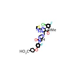 COC(=O)C1=C(CN2CCN3C(=O)N(c4ccc(OC5CCC(C(=O)O)CC5)cc4F)C[C@@H]3C2)NC(c2nccs2)=N[C@H]1c1ccc(F)cc1Cl